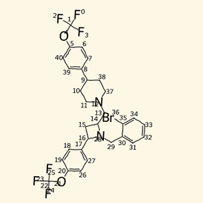 FC(F)(F)Oc1ccc(C2CCN(CC3CC(c4ccc(OC(F)(F)F)cc4)N3Cc3ccccc3Br)CC2)cc1